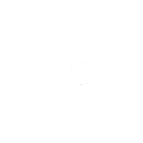 COc1ccc(C#N)cc1-n1nc2c(c1C(C)C)C(c1ccc(C#N)cc1)N(c1cc(Cl)ccc1C)C2=O